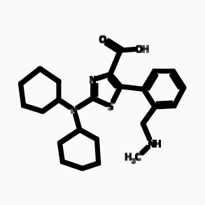 CNCc1ccccc1-c1sc(N(C2CCCCC2)C2CCCCC2)nc1C(=O)O